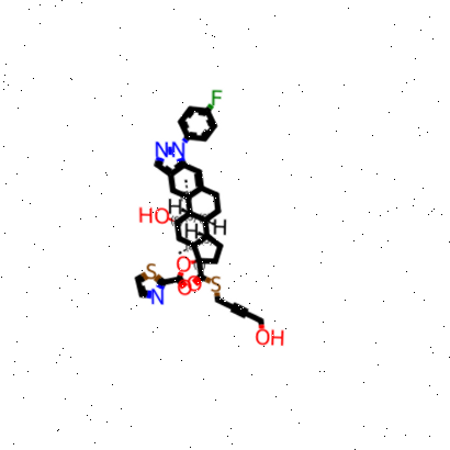 C[C@]12Cc3cnn(-c4ccc(F)cc4)c3C=C1CC[C@@H]1[C@@H]2[C@@H](O)C[C@@]2(C)[C@H]1CC[C@]2(OC(=O)c1nccs1)C(=O)SCC#CCO